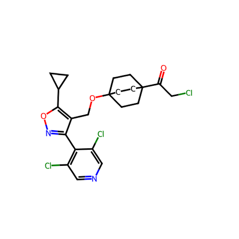 O=C(CCl)C12CCC(OCc3c(-c4c(Cl)cncc4Cl)noc3C3CC3)(CC1)CC2